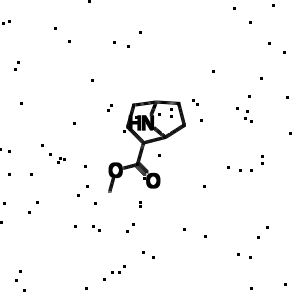 COC(=O)C1CCC2CCC1N2